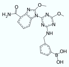 COc1nc(NCc2cccc(B(O)O)c2)nc(-n2c(OC)nc3c(C(N)=O)cccc32)n1